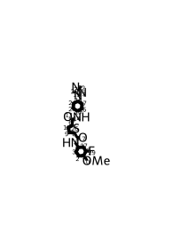 COc1ccc(NC(=O)c2ccc(C(=O)Nc3ccc(-n4cncn4)cc3)s2)cc1F